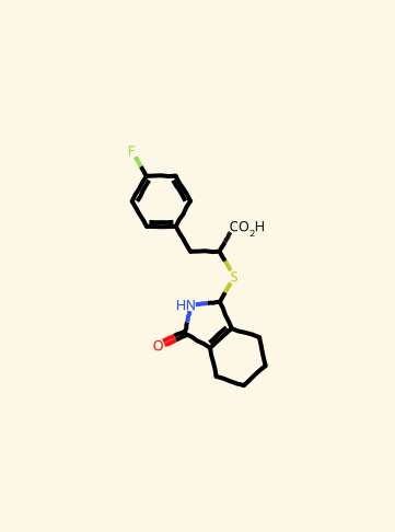 O=C1NC(SC(Cc2ccc(F)cc2)C(=O)O)C2=C1CCCC2